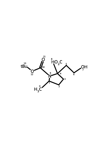 CC1CCC(CCO)(C(=O)O)N1C(=O)OC(C)(C)C